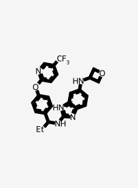 CCC(Nc1nc2ccc(NC3COC3)cc2[nH]1)c1ccc(Oc2ccc(C(F)(F)F)cn2)cc1